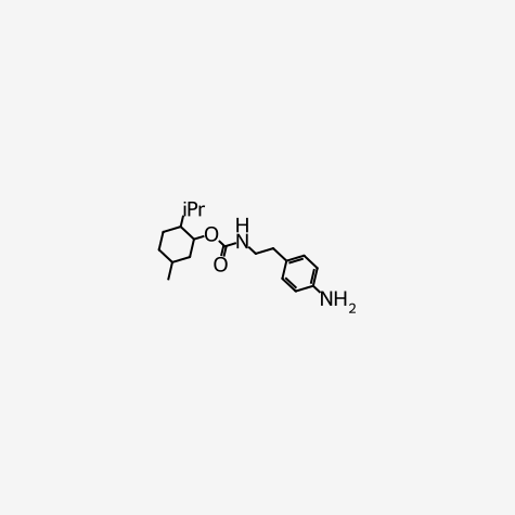 CC1CCC(C(C)C)C(OC(=O)NCCc2ccc(N)cc2)C1